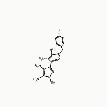 Cc1ccc(Cn2nc(-c3nn(C(C)C)c(N)c3N)c(N)c2N)cc1